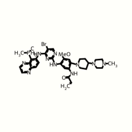 C=CC(=O)Nc1cc(Nc2ncc(Br)c(Nc3ccc4nccnc4c3P(C)C)n2)c(OC)cc1N1CCC(N2CCN(C)CC2)CC1